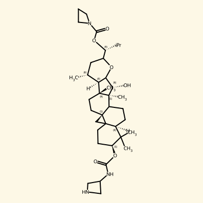 CC(C)[C@@H](OC(=O)N1CCC1)C1C[C@@H](C)[C@H]2C(O1)[C@H](O)[C@@]1(C)C3CC[C@H]4C(C)(C)[C@@H](OC(=O)NC5CNC5)CCC45C[C@@]35CC[C@]21C